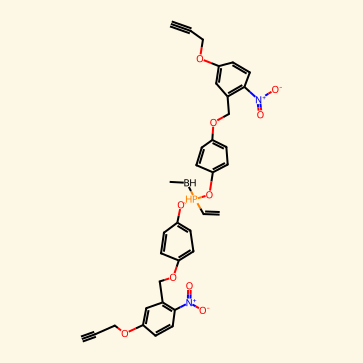 C#CCOc1ccc([N+](=O)[O-])c(COc2ccc(O[PH](BC)(C=C)Oc3ccc(OCc4cc(OCC#C)ccc4[N+](=O)[O-])cc3)cc2)c1